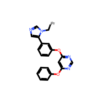 CC(C)Cn1cncc1-c1cccc(Oc2cc(Oc3ccccc3)ncn2)c1